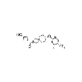 Cc1cc(OC2CCC3(CC2)CN(C(=O)[C@H]2C[C@@H](O)C2)C3)ncc1C(F)(F)F